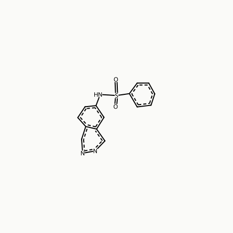 O=S(=O)(Nc1ccc2cnncc2c1)c1ccccc1